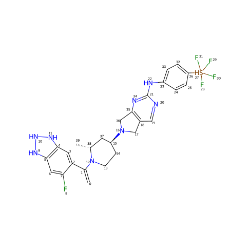 C=C(c1cc2c(cc1F)NNN2)N1CC[C@H](N2Cc3cnc(Nc4ccc([SH](F)(F)(F)F)cc4)nc3C2)C[C@H]1C